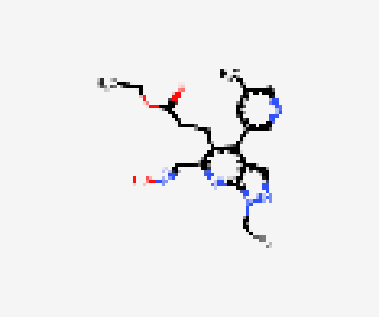 CCOC(=O)CCc1c(/C=N/O)nc2c(cnn2CC)c1-c1cncc(C)c1